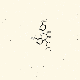 COc1ccc(C2Sc3c(C(=O)O)cccc3N(CCN(C)C)C(=O)C2O)cc1